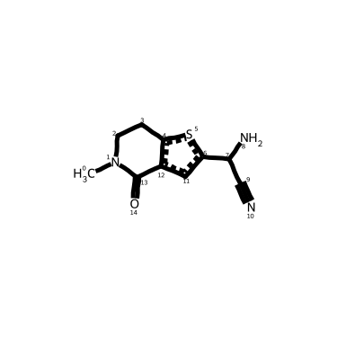 CN1CCc2sc(C(N)C#N)cc2C1=O